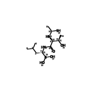 CC(C)C[C@H](NC(=O)[C@@H](NC(C)S)[C@@H](C)O)B(O)O